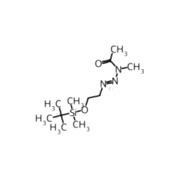 CC(=O)N(C)/N=N/CCO[Si](C)(C)C(C)(C)C